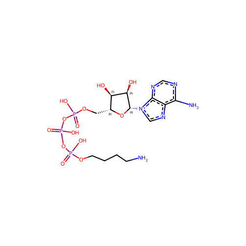 NCCCCOP(=O)(O)OP(=O)(O)OP(=O)(O)OC[C@H]1O[C@@H](n2cnc3c(N)ncnc32)[C@H](O)[C@@H]1O